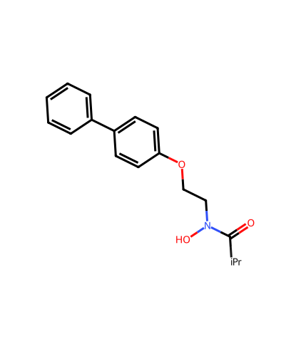 CC(C)C(=O)N(O)CCOc1ccc(-c2ccccc2)cc1